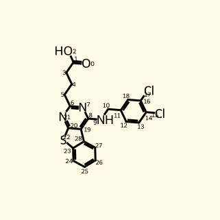 O=C(O)CCCc1nc(NCc2ccc(Cl)c(Cl)c2)c2c(n1)sc1ccccc12